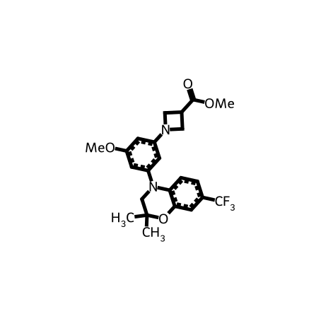 COC(=O)C1CN(c2cc(OC)cc(N3CC(C)(C)Oc4cc(C(F)(F)F)ccc43)c2)C1